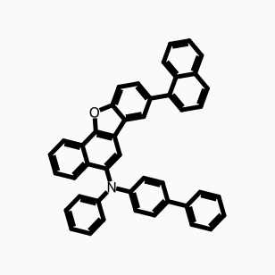 c1ccc(-c2ccc(N(c3ccccc3)c3cc4c5cc(-c6cccc7ccccc67)ccc5oc4c4ccccc34)cc2)cc1